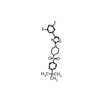 CC(C)(C)c1ccc(S(=O)(=O)C2CCN(c3nc(-c4cc(F)cc(F)c4)cs3)CC2)cc1